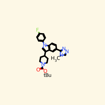 Cn1cnnc1-c1ccc2c(c1)c(C1CCN(C(=O)OC(C)(C)C)CC1)cn2-c1ccc(F)cc1